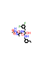 CCc1cccc(CNC[C@@H](O)[C@H](Cc2cc(F)cc(F)c2)NC(=O)c2oc(NS(C)(=O)=O)nc2C)c1